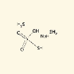 O=S(=O)(O)S.S.S.[NaH]